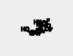 CC1(Oc2cc3c(-c4cc(N5CC[C@H](CO)C5)ncn4)n[nH]c3cc2F)CC1